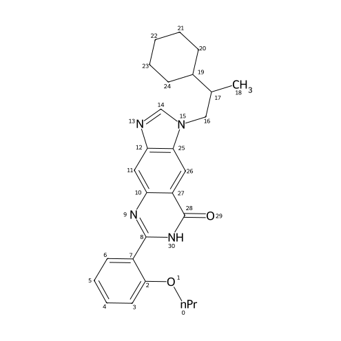 CCCOc1ccccc1-c1nc2cc3ncn(CC(C)C4CCCCC4)c3cc2c(=O)[nH]1